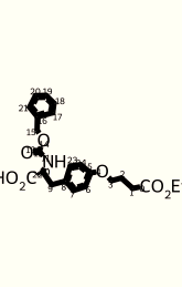 CCOC(=O)CCCOc1ccc(C[C@H](NC(=O)OCc2ccccc2)C(=O)O)cc1